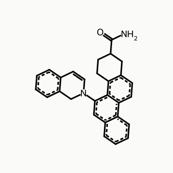 NC(=O)C1CCc2c(ccc3c2c(N2C=Cc4ccccc4C2)cc2ccccc23)C1